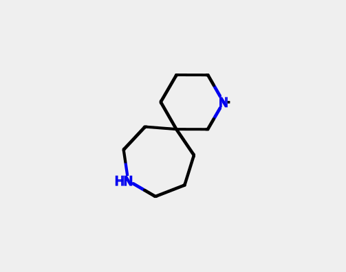 C1C[N]CC2(C1)CCCNCC2